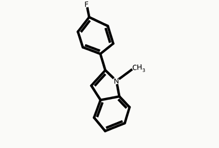 Cn1c(-c2ccc(F)cc2)cc2ccccc21